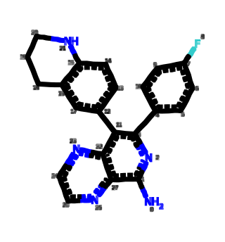 Nc1nc(-c2ccc(F)cc2)c(-c2ccc3c(c2)CCCN3)c2nccnc12